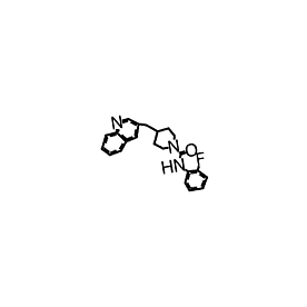 O=C(Nc1ccccc1F)N1CCC(Cc2cnc3ccccc3c2)CC1